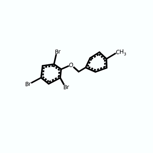 Cc1ccc(COc2c(Br)cc(Br)cc2Br)cc1